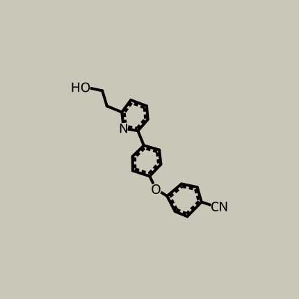 N#Cc1ccc(Oc2ccc(-c3cccc(CCO)n3)cc2)cc1